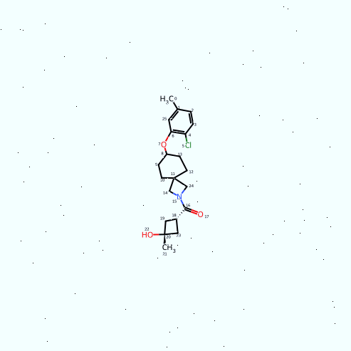 Cc1ccc(Cl)c(OC2CCC3(CC2)CN(C(=O)[C@H]2C[C@@](C)(O)C2)C3)c1